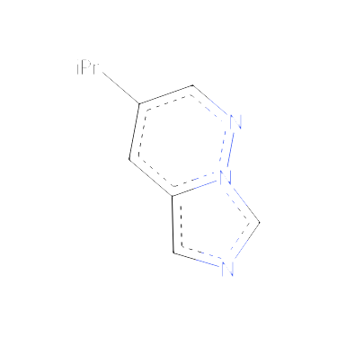 CC(C)c1cnn2cncc2c1